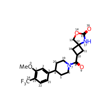 COc1cc(C2CCN(C(=O)C3CC4(COC(=O)N4)C3)CC2)ccc1C(F)(F)F